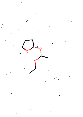 CCOC(C)OC1CCCO1